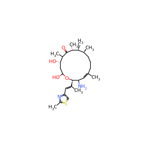 C/C1=C/C(N)[C@@H](/C(C)=C/c2csc(C)n2)OC(O)C[C@H](O)C(C)C(=O)[C@H](C)[C@@H](C)[C@@H](C)CCC1